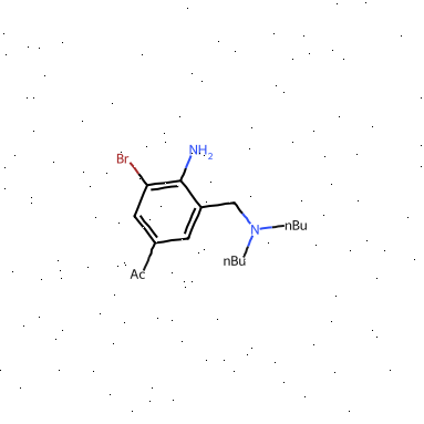 CCCCN(CCCC)Cc1cc(C(C)=O)cc(Br)c1N